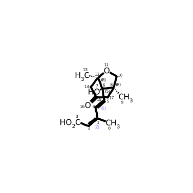 CC(=C/C(=O)O)/C=C/[C@]1(O)[C@@]2(C)CO[C@]1(C)CC(=O)C2